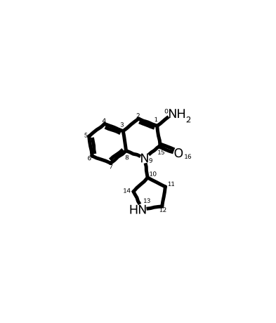 Nc1cc2ccccc2n(C2CCNC2)c1=O